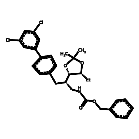 CC[C@H]1OC(C)(C)O[C@H]1[C@H](CNC(=O)OCc1ccccc1)Cc1ccc(-c2cc(Cl)cc(Cl)c2)cc1